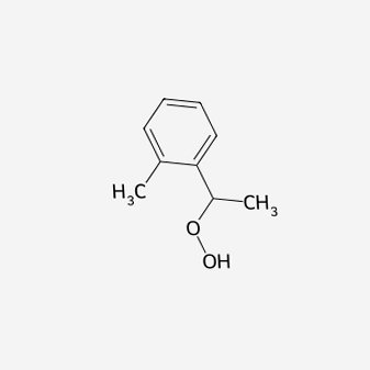 Cc1ccccc1C(C)OO